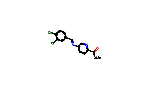 COC(=O)c1ccc(N=Cc2ccc(Cl)c(Cl)c2)cn1